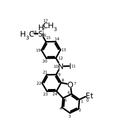 CCc1cccc2c1oc1c(N(I)c3ccc([SiH](C)C)cc3)cccc12